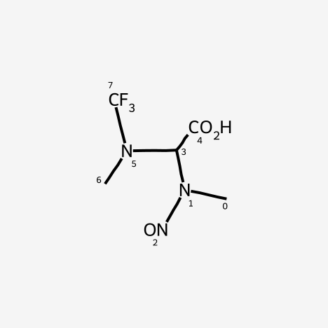 CN(N=O)C(C(=O)O)N(C)C(F)(F)F